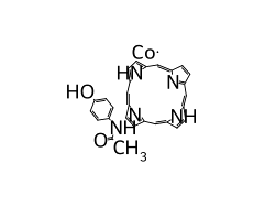 C1=Cc2cc3ccc(cc4nc(cc5ccc(cc1n2)[nH]5)C=C4)[nH]3.CC(=O)Nc1ccc(O)cc1.[Co]